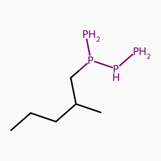 CCCC(C)CP(P)PP